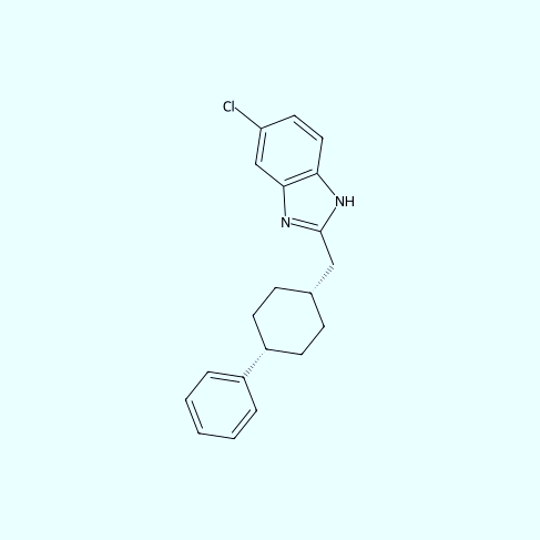 Clc1ccc2[nH]c(C[C@H]3CC[C@@H](c4ccccc4)CC3)nc2c1